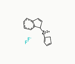 C1=CC[C]([Zr+2][CH]2C=Cc3ccccc32)=C1.[F-].[F-]